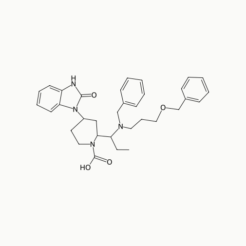 CCC(C1CC(n2c(=O)[nH]c3ccccc32)CCN1C(=O)O)N(CCCOCc1ccccc1)Cc1ccccc1